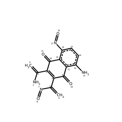 C=C(N)C1=C(C(=C)N=O)C(=O)c2c(N)ccc(N=O)c2C1=O